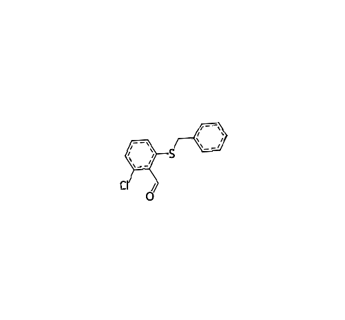 O=Cc1c(Cl)cccc1SCc1ccccc1